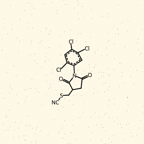 N#CSCC1CC(=O)N(c2cc(Cl)c(Cl)cc2Cl)C1=O